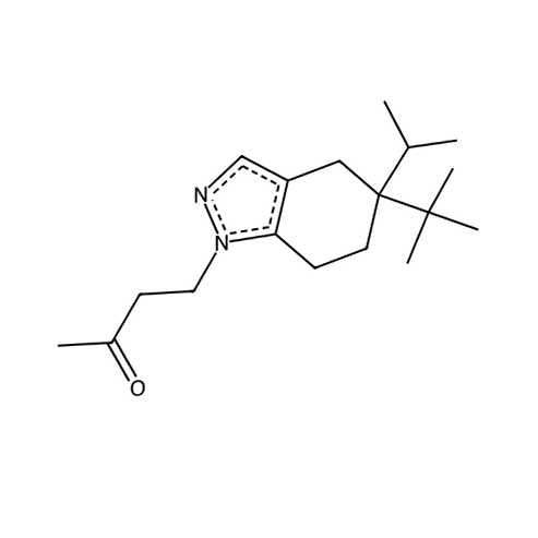 CC(=O)CCn1ncc2c1CCC(C(C)C)(C(C)(C)C)C2